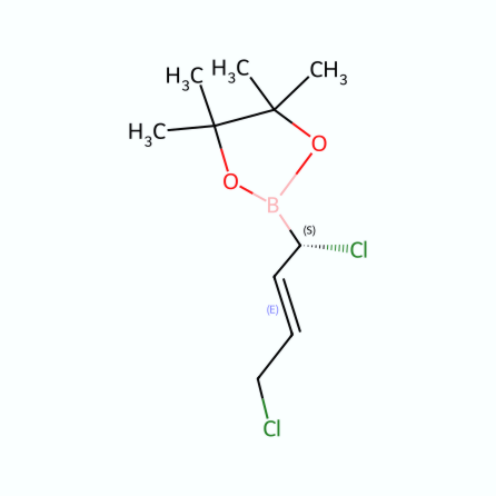 CC1(C)OB([C@H](Cl)/C=C/CCl)OC1(C)C